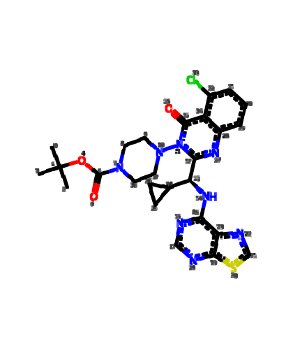 CC(C)(C)OC(=O)N1CCN(n2c([C@@H](Nc3ncnc4scnc34)C3CC3)nc3cccc(Cl)c3c2=O)CC1